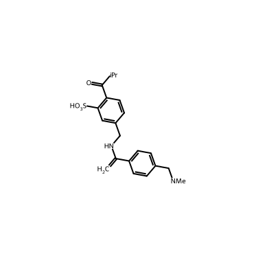 C=C(NCc1ccc(C(=O)C(C)C)c(S(=O)(=O)O)c1)c1ccc(CNC)cc1